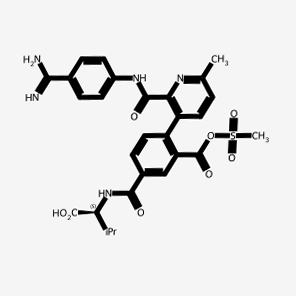 Cc1ccc(-c2ccc(C(=O)N[C@H](C(=O)O)C(C)C)cc2C(=O)OS(C)(=O)=O)c(C(=O)Nc2ccc(C(=N)N)cc2)n1